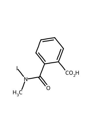 CN(I)C(=O)c1ccccc1C(=O)O